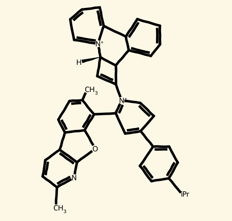 Cc1ccc2c(n1)oc1c(-c3cc(-c4ccc(C(C)C)cc4)cc[n+]3C3=C[C@H]4C3c3ccccc3-c3cccc[n+]34)c(C)ccc12